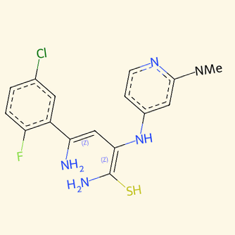 CNc1cc(NC(/C=C(\N)c2cc(Cl)ccc2F)=C(/N)S)ccn1